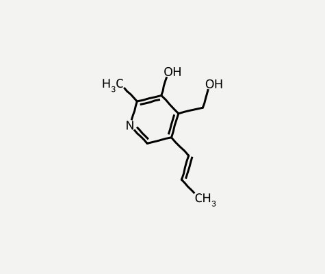 CC=Cc1cnc(C)c(O)c1CO